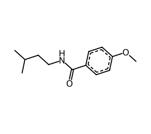 COc1ccc(C(=O)NCCC(C)C)cc1